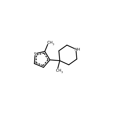 Cc1sccc1C1(C)CCNCC1